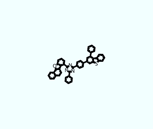 c1ccc(-c2nc(-c3ccc(-c4cc(-c5ccccc5)c5c(c4)sc4ccccc45)cc3)nc(-c3cccc4oc5c6ccccc6ccc5c34)n2)cc1